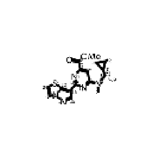 COC(=O)c1cc(N(C)[C@@H](C)C2CC2)nc(-c2cnn3ccsc23)n1